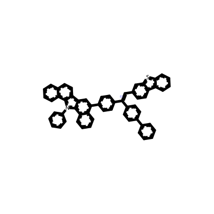 C(=C(/c1ccc(-c2ccccc2)cc1)c1ccc(-c2cc3c4ccc5ccccc5c4n(-c4ccccc4)c3c3ccccc23)cc1)/c1ccc2c(c1)sc1ccccc12